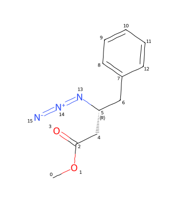 COC(=O)C[C@@H](Cc1ccccc1)N=[N+]=[N-]